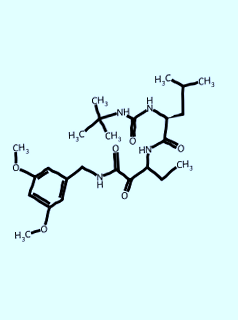 CCC(NC(=O)[C@H](CC(C)C)NC(=O)NC(C)(C)C)C(=O)C(=O)NCc1cc(OC)cc(OC)c1